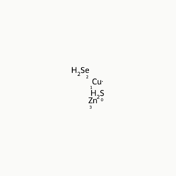 S.[Cu].[SeH2].[Zn]